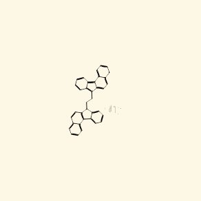 C1=CCc2ccc3c(c2=C1)=c1ccccc1=C3CCC1c2ccccc2-c2c1ccc1ccccc21.[Cl-].[Cl-].[Zr+2]